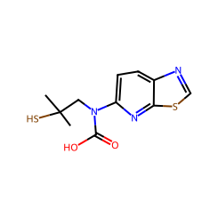 CC(C)(S)CN(C(=O)O)c1ccc2ncsc2n1